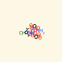 CC(C)c1cc(Cl)cc(C(C)C)c1NC(=O)NS(=O)(=O)c1cccc(S(C)(=O)=O)c1.CS(=O)(=O)c1cccc(S(N)(=O)=O)c1